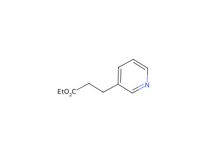 CCOC(=O)CCc1cccnc1